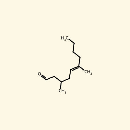 CCCCC(C)=CCC(C)CC=O